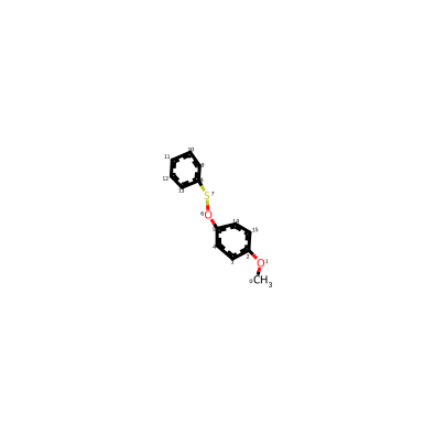 COc1ccc(OSc2ccccc2)cc1